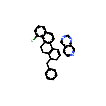 Clc1cccc2ccc3c(c12)CCC1=C3C=CCC1Cc1ccccc1.c1cc2cncnc2cn1